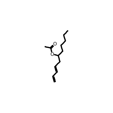 C=CC=CCC(CCCCC)OC(C)=O